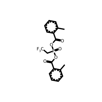 Cc1ccccc1C(=O)OP(=O)(CC(F)(F)F)OC(=O)c1ccccc1C